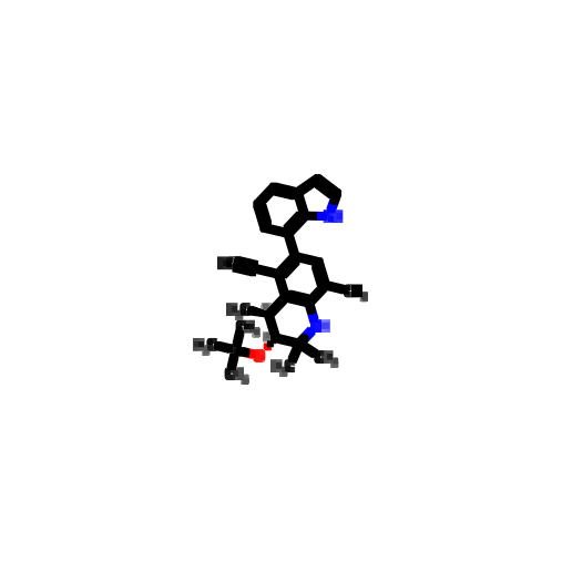 C#Cc1c(-c2cccc3cc[nH]c23)cc(C)c2c1[C@H](C)[C@@H](O[Si](C)(C)C)C(C)(C)N2